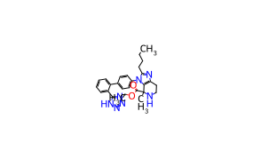 CCCCc1nc2c(n1-c1ccc(-c3ccccc3-c3nnn[nH]3)cc1)C(C)(C(=O)OCC)NCC2